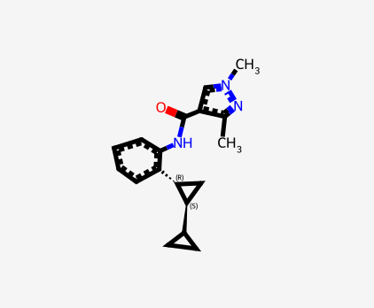 Cc1nn(C)cc1C(=O)Nc1ccccc1[C@@H]1C[C@H]1C1CC1